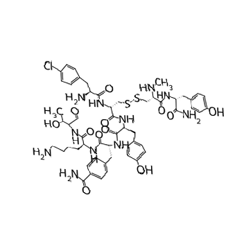 CN[C@@H](CSSC[C@@H](NC(=O)[C@@H](N)Cc1ccc(Cl)cc1)C(=O)N[C@@H](Cc1ccc(O)cc1)C(=O)N[C@H](Cc1ccc(C(N)=O)cc1)C(=O)N[C@@H](CCCCN)C(=O)NC(C=O)C(C)O)C(=O)N[C@H](Cc1ccc(O)cc1)C(N)=O